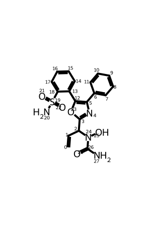 C=CC(c1nc(-c2ccccc2)c(-c2ccccc2S(N)(=O)=O)o1)N(O)C(N)=O